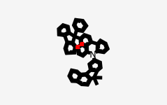 CC1(C)c2ccc(N(c3ccccc3)c3ccccc3-c3ccc(C4(c5ccccc5)c5ccccc5-c5ccccc54)cc3)cc2-c2c1ccc1ccccc21